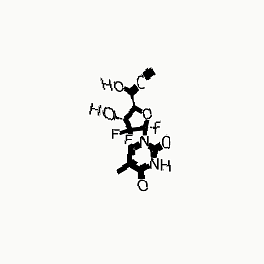 C=C=C(O)[C@H]1O[C@@](F)(n2cc(C)c(=O)[nH]c2=O)C(F)(F)[C@@H]1O